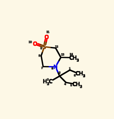 CCC(C)(CC)N1CCS(=O)(=O)CC1C